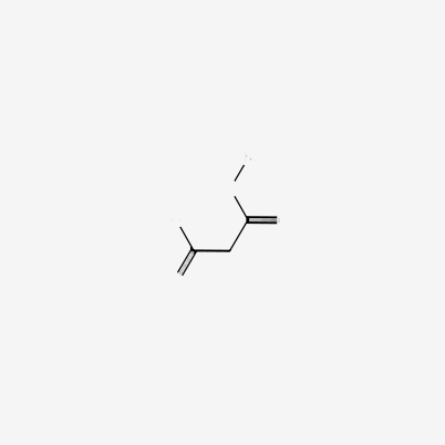 C=C(O)CC(=O)SN